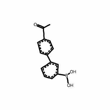 CC(=O)c1ccc(-c2cccc(B(O)O)c2)cc1